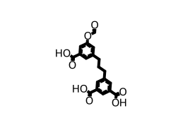 O=COc1cc(CCCc2cc(C(=O)O)cc(C(=O)O)c2)cc(C(=O)O)c1